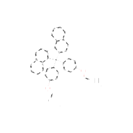 C=COc1ccc(C2(c3ccc(OC=C)cc3)c3ccc4ccccc4c3-c3ccc4ccccc4c32)cc1